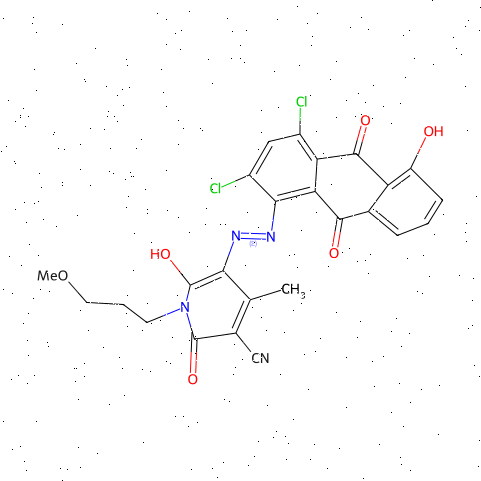 COCCCn1c(O)c(/N=N/c2c(Cl)cc(Cl)c3c2C(=O)c2cccc(O)c2C3=O)c(C)c(C#N)c1=O